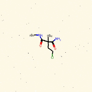 CCCCNC(=O)C(CCCl)(CCCC)C(N)=O